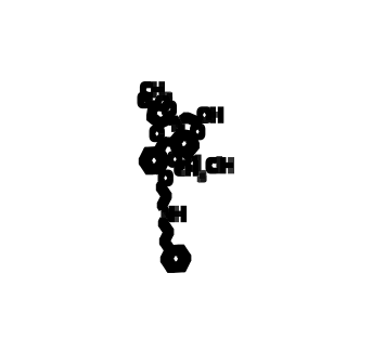 COC(=O)CC1OC(c2cccc(OCCCNCCCc3ccccc3)c2OC)c2cc(Cl)ccc2N(CC(=O)O)C1=O.Cl